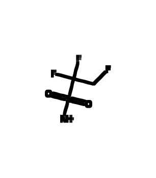 [NH]S(=O)(=O)C(F)(F)CF